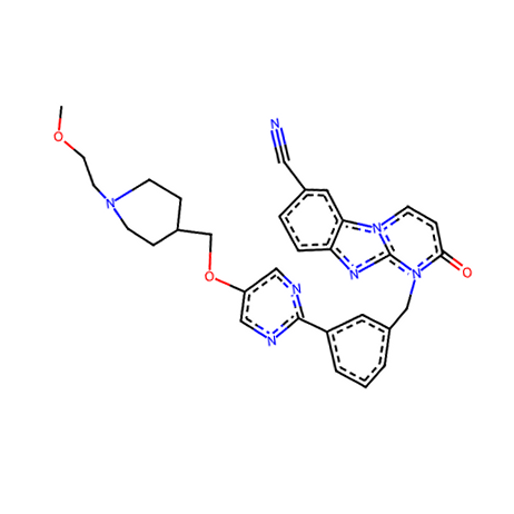 COCCN1CCC(COc2cnc(-c3cccc(Cn4c(=O)ccn5c6cc(C#N)ccc6nc45)c3)nc2)CC1